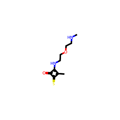 CNCCOCCNc1c(C)c(=S)c1=O